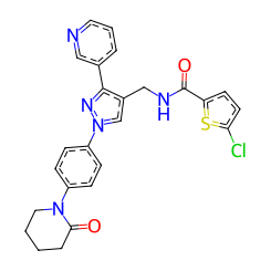 O=C(NCc1cn(-c2ccc(N3CCCCC3=O)cc2)nc1-c1cccnc1)c1ccc(Cl)s1